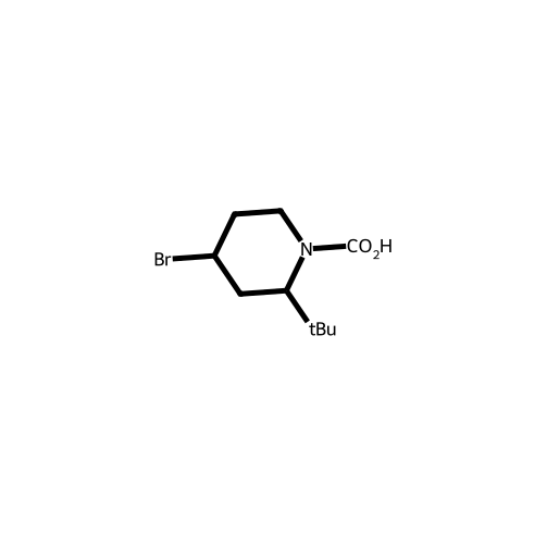 CC(C)(C)C1CC(Br)CCN1C(=O)O